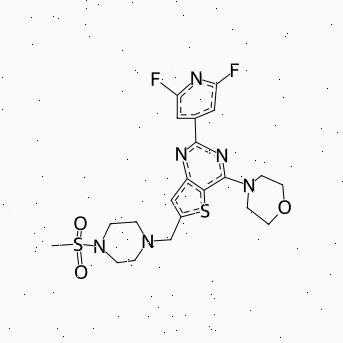 CS(=O)(=O)N1CCN(Cc2cc3nc(-c4cc(F)nc(F)c4)nc(N4CCOCC4)c3s2)CC1